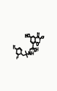 CC(C)(Cc1ccc(F)cc1F)NC[C@H](O)c1cc(O)cc2c1OCC(=O)N2